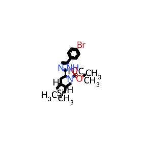 CC(C)(C)OC(=O)N1C[C@H]2C[Si](C)(C)C[C@@H]2C[C@H]1c1ncc(-c2ccc(Br)cc2)[nH]1